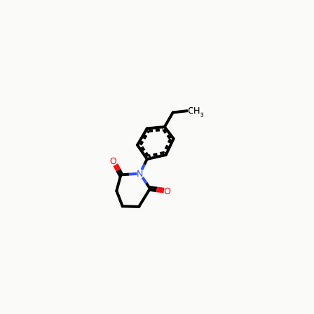 CCc1ccc(N2C(=O)CCCC2=O)cc1